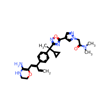 C=C/C(=C\C1=C(N)NCCO1)c1ccc([C@](C)(c2noc(-c3cnn(CC(=O)N(C)C)c3)n2)C2CC2)cc1